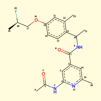 CC(=O)Nc1cc(C(=O)NC(C)c2ccc(OC[C@@H](C)F)cc2C)cc(C)n1